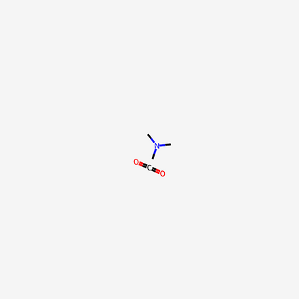 CN(C)C.O=C=O